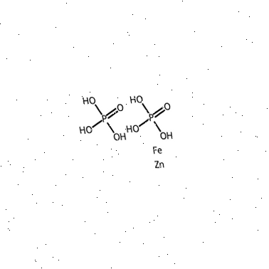 O=P(O)(O)O.O=P(O)(O)O.[Fe].[Zn]